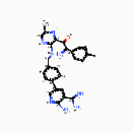 Cc1ccc(C(=N)C(=O)c2nc(C#N)cnc2NCc2ccc(-c3cnc(N)c(C(=N)N)c3)cc2)cc1